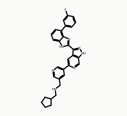 Fc1cccc(-c2cccc3[nH]c(-c4n[nH]c5cnc(-c6cncc(CNCC7CCCC7)c6)cc45)nc23)c1